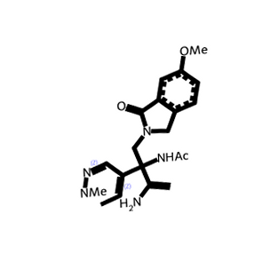 C=C(N)C(CN1Cc2ccc(OC)cc2C1=O)(NC(C)=O)C(/C=N\NC)=C/C